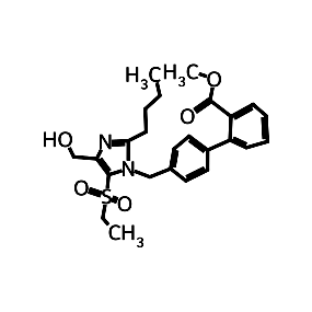 CCCCc1nc(CO)c(S(=O)(=O)CC)n1Cc1ccc(-c2ccccc2C(=O)OC)cc1